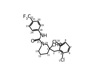 O=CC1(Cc2c(Cl)cccc2Cl)CCCN(C(=O)Nc2ccc(C(F)(F)F)cc2)C1